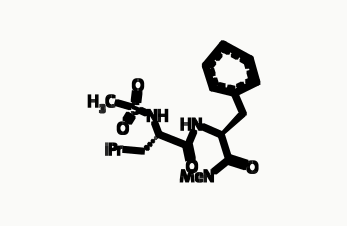 CNC(=O)[C@H](Cc1ccccc1)NC(=O)[C@H](CC(C)C)NS(C)(=O)=O